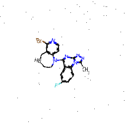 Cc1nnc2nc(N3CCBCc4c3ccnc4Br)c3cc(F)ccc3n12